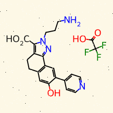 NCCCn1nc2c(c1C(=O)O)CCc1cc(O)c(-c3ccncc3)cc1-2.O=C(O)C(F)(F)F